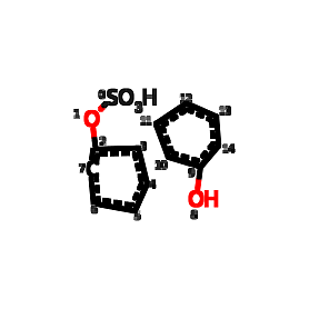 O=S(=O)(O)Oc1ccccc1.Oc1ccccc1